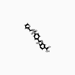 O=C(O)c1ccc2[nH]c(-c3ccc(S(=O)(=O)NCc4cccs4)cc3)nc2c1